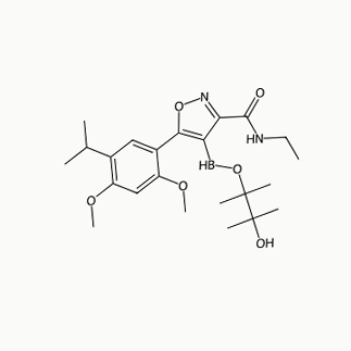 CCNC(=O)c1noc(-c2cc(C(C)C)c(OC)cc2OC)c1BOC(C)(C)C(C)(C)O